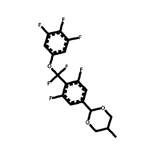 CC1COC(c2cc(F)c(C(F)(F)Oc3cc(F)c(F)c(F)c3)c(F)c2)OC1